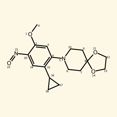 COc1cc(N2CCC3(CC2)OCCO3)c(C2CC2)cc1N=O